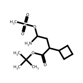 CC(C)(C)OC(=O)C(CC(N)OS(C)(=O)=O)C1CCC1